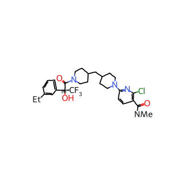 CCc1cccc([C@@](O)(C(=O)N2CCC(CC3CCN(c4ccc(C(=O)NC)c(Cl)n4)CC3)CC2)C(F)(F)F)c1